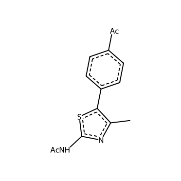 CC(=O)Nc1nc(C)c(-c2ccc(C(C)=O)cc2)s1